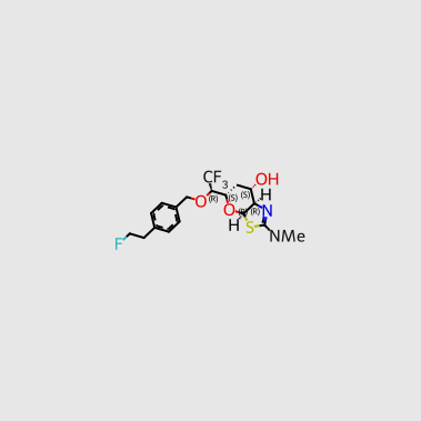 CNC1=N[C@H]2[C@H](O[C@H]([C@@H](OCc3ccc(CCF)cc3)C(F)(F)F)C[C@@H]2O)S1